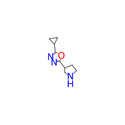 C1CC(c2nnc(C3CC3)o2)CN1